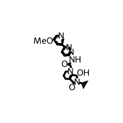 COc1cncc(-c2ccc(NC(=O)CN3CCCC4=C3C(O)N(C3CC3)C4=O)nn2)c1